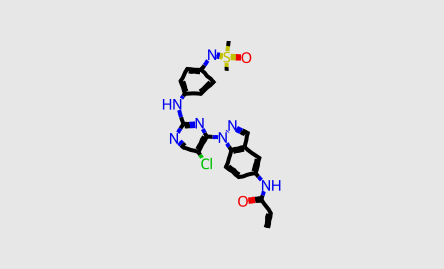 C=CC(=O)Nc1ccc2c(cnn2-c2nc(Nc3ccc(N=S(C)(C)=O)cc3)ncc2Cl)c1